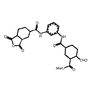 COC(=O)C1CC(C(=O)Nc2cccc(NC(=O)C3CCC4C(=O)OC(=O)C4C3)c2)CCC1C=O